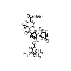 COC(=O)C1CCN(C(=O)c2cc(-c3cc(Cl)ncc3F)n(COCC[Si](C)(C)C)n2)C2(CC2)C1